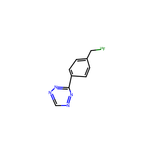 [18F]Cc1ccc(-c2nncnn2)cc1